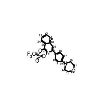 O=S(=O)(Oc1nc(-c2ccc(N3CCOCC3)cc2)cc2ncccc12)C(F)(F)F